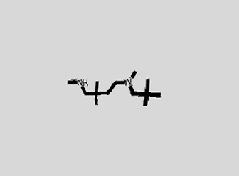 CNCC(C)(C)CCN(C)CC(C)(C)C